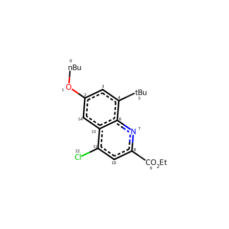 CCCCOc1cc(C(C)(C)C)c2nc(C(=O)OCC)cc(Cl)c2c1